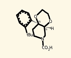 CC(C)(C)c1ccccc1[C@@]12CCN(C(=O)O)C[C@@H]1OCCO2